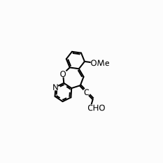 COC1C=CC=C2Oc3ncccc3C(=C=CC=O)C=C21